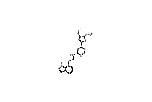 CCOc1cc(-c2cc(NCCc3cccc4cc[nH]c34)ncn2)sc1C(=O)O